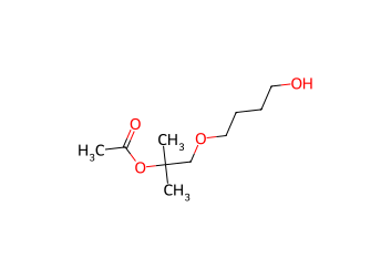 CC(=O)OC(C)(C)COCCCCO